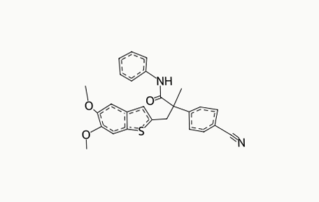 COc1cc2cc(CC(C)(C(=O)Nc3ccccc3)c3ccc(C#N)cc3)sc2cc1OC